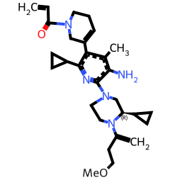 C=CC(=O)N1CCC=C(c2c(C3CC3)nc(N3CCN(C(=C)CCOC)[C@H](C4CC4)C3)c(N)c2C)C1